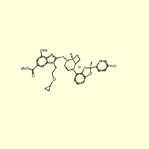 COC(=O)c1cc(OC)c2nc(CN3CCN(c4cccc5c4O[C@](C)(c4ccc(Cl)cn4)O5)[C@@H]4CC[C@H]43)n(CCOC3CC3)c2c1